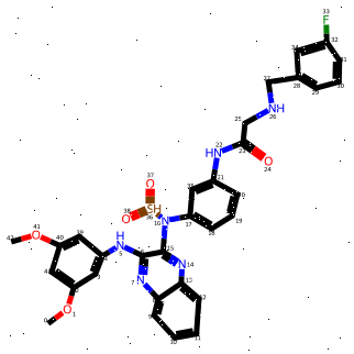 COc1cc(Nc2nc3ccccc3nc2N(c2cccc(NC(=O)CNCc3cccc(F)c3)c2)[SH](=O)=O)cc(OC)c1